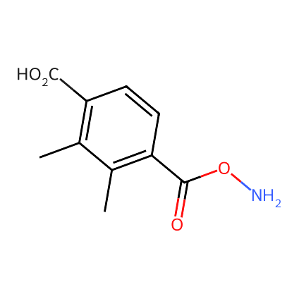 Cc1c(C(=O)O)ccc(C(=O)ON)c1C